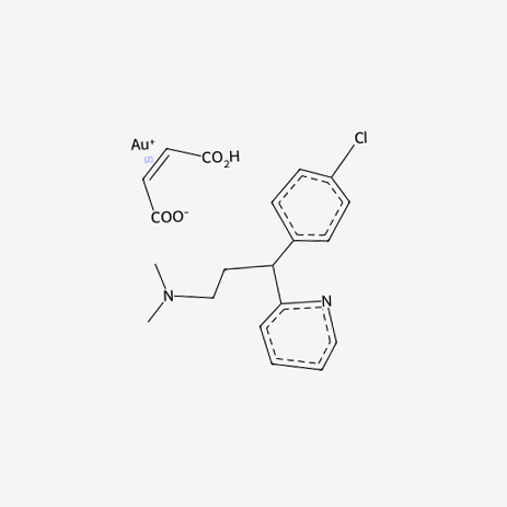 CN(C)CCC(c1ccc(Cl)cc1)c1ccccn1.O=C([O-])/C=C\C(=O)O.[Au+]